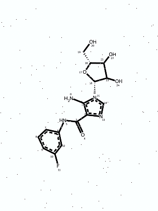 Nc1c(C(=O)Nc2cccc(F)c2)ncn1[C@@H]1O[C@H](CO)C(O)C1O